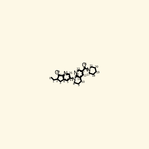 CCC1Cc2cc(N3CCCc4cc(C(=O)N5CCCCC5)cnc43)cnc2C1=O